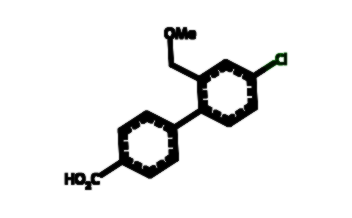 COCc1cc(Cl)ccc1-c1ccc(C(=O)O)cc1